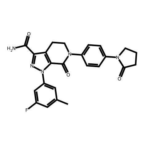 Cc1cc(F)cc(-n2nc(C(N)=O)c3c2C(=O)N(c2ccc(N4CCCC4=O)cc2)CC3)c1